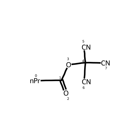 CCCC(=O)OC(C#N)(C#N)C#N